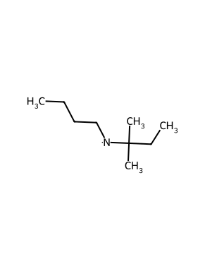 CCCC[N]C(C)(C)CC